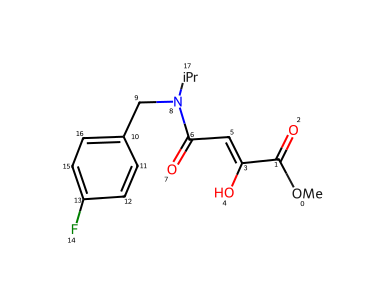 COC(=O)C(O)=CC(=O)N(Cc1ccc(F)cc1)C(C)C